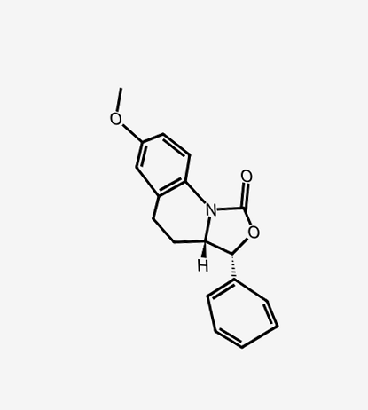 COc1ccc2c(c1)CC[C@H]1[C@@H](c3ccccc3)OC(=O)N21